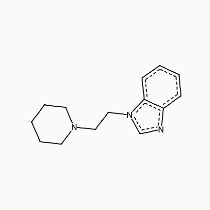 [CH]1CCN(CCn2cnc3ccccc32)CC1